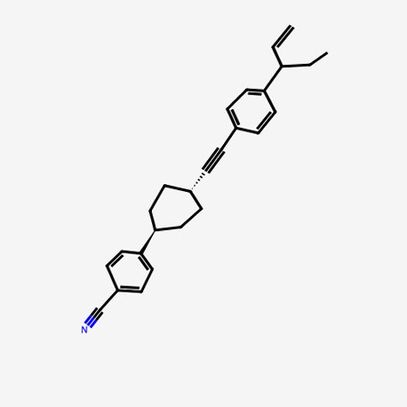 C=CC(CC)c1ccc(C#C[C@H]2CC[C@H](c3ccc(C#N)cc3)CC2)cc1